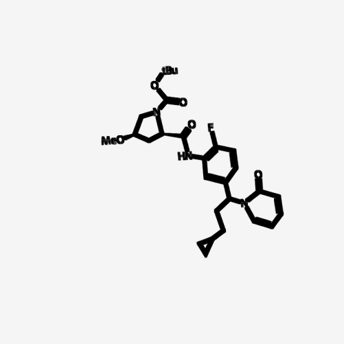 CO[C@@H]1C[C@H](C(=O)Nc2cc(C(CCC3CC3)n3ccccc3=O)ccc2F)N(C(=O)OC(C)(C)C)C1